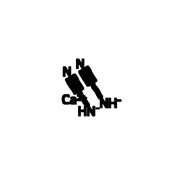 N#C[NH-].N#C[NH-].[Ca+2]